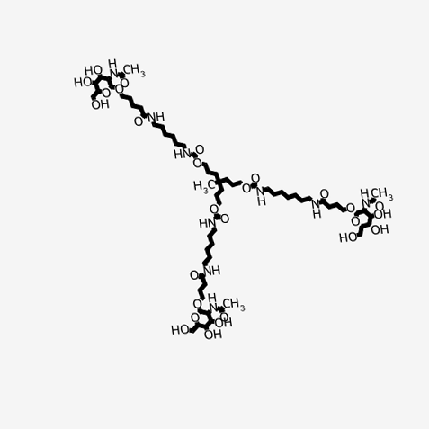 CC(=O)NC1C(OCCCCC(=O)NCCCCCCNC(=O)OCCCC(C)(CCCOC(=O)NCCCCCCCNC(=O)CCCOC2OC(CO)C(O)C(O)C2NC(C)=O)CCCOC(=O)NCCCCCCNC(=O)CCCOC2OC(CO)C(O)C(O)C2NC(C)=O)OC(CO)C(O)C1O